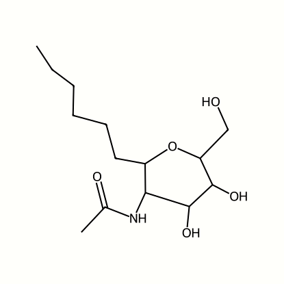 CCCCCCC1OC(CO)C(O)C(O)C1NC(C)=O